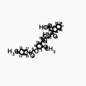 COc1cc(OCC(=O)N2CC3CN(C)CC3C2)ccc1-c1csc(CNC(=O)C2(CC(=O)O)Cc3ccccc3C2)n1